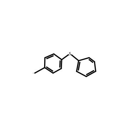 [CH2]c1ccc(Sc2ccccc2)cc1